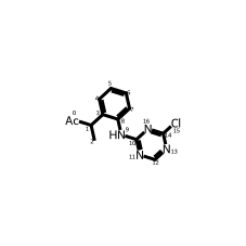 CC(=O)C(C)c1ccccc1Nc1ncnc(Cl)n1